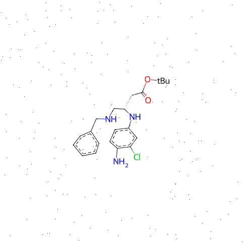 CC(C)(C)OC(=O)C[C@@H](CNCc1ccccc1)Nc1ccc(N)c(Cl)c1